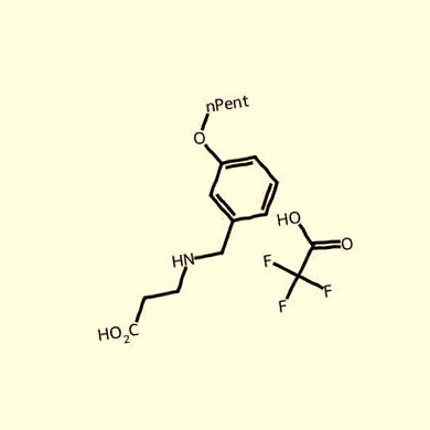 CCCCCOc1cccc(CNCCC(=O)O)c1.O=C(O)C(F)(F)F